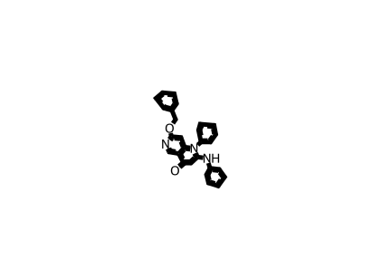 O=c1cc(Nc2ccccc2)n(-c2ccccc2)c2cc(OCc3ccccc3)ncc12